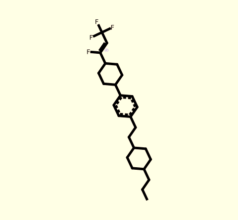 CCCC1CCC(CCc2ccc(C3CCC(/C(F)=C/C(F)(F)F)CC3)cc2)CC1